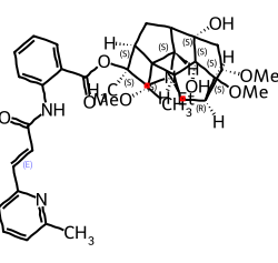 CCN1C[C@@](C)(OC(=O)c2ccccc2NC(=O)/C=C/c2cccc(C)n2)[C@H]2CC3[C@H]1C2([C@H](C)OC)[C@@H]1C[C@@H]2[C@@H](OC)C[C@@]3(O)[C@@]1(O)[C@H]2OC